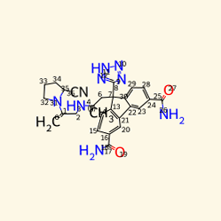 C=C(CN[C@@H](C)CC1(c2nn[nH]n2)c2ccc(C(N)=O)cc2-c2cc(C(N)=O)ccc21)N1CCCC1C#N